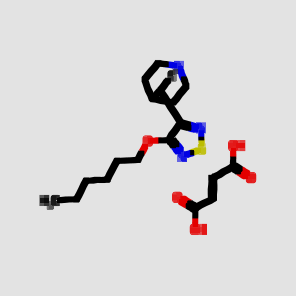 CCCCCCOc1nsnc1C1CN2CCC1CC2.O=C(O)C=CC(=O)O